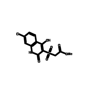 COC(=O)CS(=O)(=O)c1c(O)c2ccc(Cl)cc2[nH]c1=O